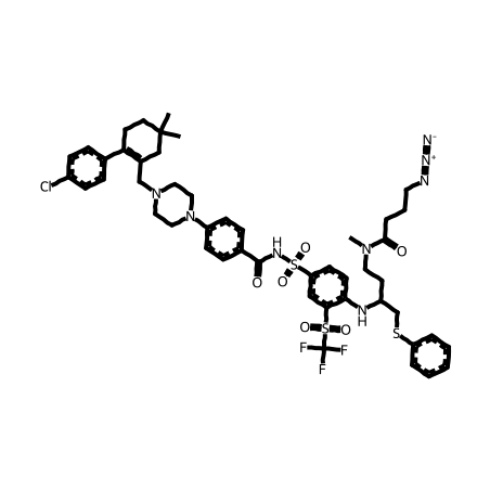 CN(CCC(CSc1ccccc1)Nc1ccc(S(=O)(=O)NC(=O)c2ccc(N3CCN(CC4=C(c5ccc(Cl)cc5)CCC(C)(C)C4)CC3)cc2)cc1S(=O)(=O)C(F)(F)F)C(=O)CCCN=[N+]=[N-]